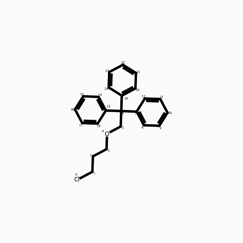 ClCCCOCC(c1ccccc1)(c1ccccc1)c1ccccc1